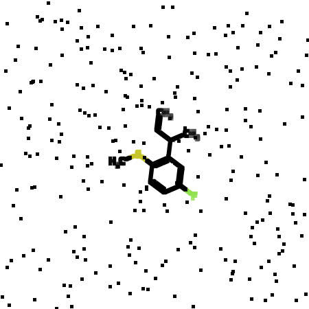 C=C[C](C)c1cc(F)ccc1SC